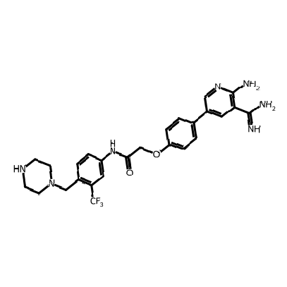 N=C(N)c1cc(-c2ccc(OCC(=O)Nc3ccc(CN4CCNCC4)c(C(F)(F)F)c3)cc2)cnc1N